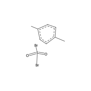 Cc1ccc(C)cc1.O=S(=O)(Br)Br